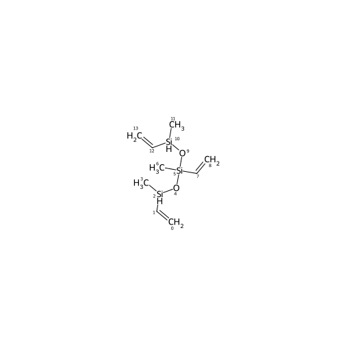 C=C[SiH](C)O[Si](C)(C=C)O[SiH](C)C=C